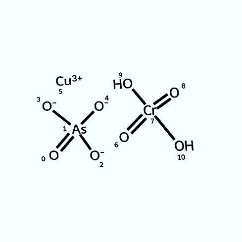 O=[As]([O-])([O-])[O-].[Cu+3].[O]=[Cr](=[O])([OH])[OH]